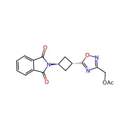 CC(=O)OCc1noc([C@H]2C[C@H](N3C(=O)c4ccccc4C3=O)C2)n1